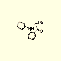 CC(C)(C)OC(=O)c1ccccc1Nc1ccccc1